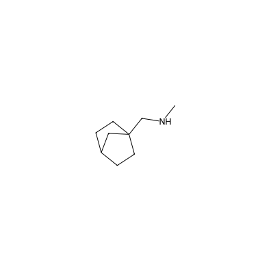 CNCC12CCC(CC1)C2